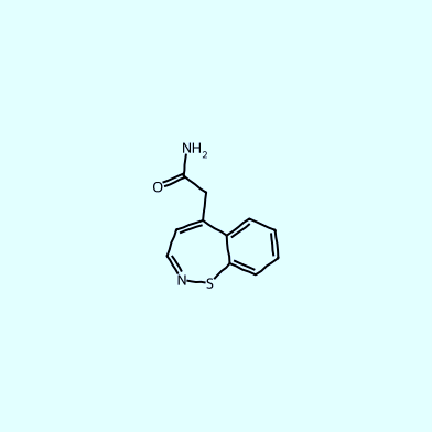 NC(=O)CC1=CC=NSc2ccccc21